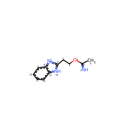 CC(=N)OCCc1nc2ccccc2[nH]1